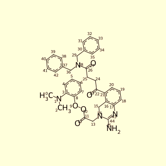 CN(C)c1ccccc1OOC(=O)CN1Cc2c(cccc2C(=O)CCC(=O)N(Cc2ccccc2)Cc2ccccc2)N=C1N